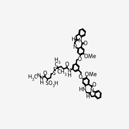 C=NNC(=O)C(CCSSC(C)(C)CCC(=O)Nc1cc(COc2cc3c(cc2OC)C(=O)N2c4ccccc4C[C@H]2C=N3)cc(COc2cc3c(cc2OC)C(=O)N2c4ccccc4C[C@H]2CN3)c1)S(=O)(=O)O